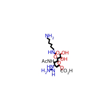 CC(=O)N[C@H]1[C@H]([C@H](OC(=O)NCCCCCCN)[C@H](O)CO)OC(OC(=O)O)=C[C@@H]1NC(=N)N